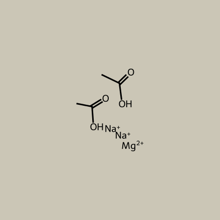 CC(=O)O.CC(=O)O.[Mg+2].[Na+].[Na+]